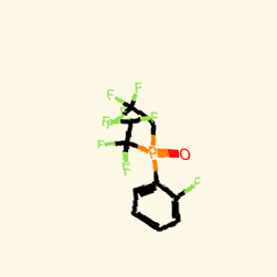 O=P(CC(F)(F)F)(c1ccccc1F)C(F)(F)C(F)(F)F